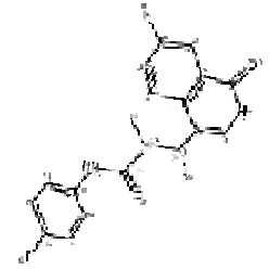 C[C@@H](c1c[nH]c(=O)c2cc(F)ccc12)N(C)C(=O)Nc1ccc(F)cc1